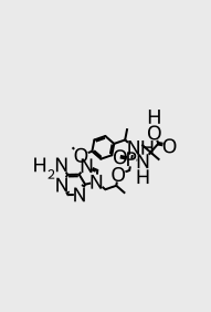 COc1ccc(C(C)NP(=O)(COC(C)Cn2cnc3c(N)ncnc32)NC(C)(C)C(=O)O)cc1